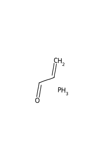 C=CC=O.P